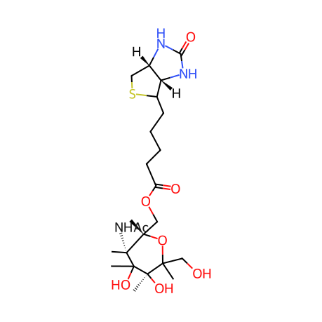 CC(=O)N[C@@]1(C)C(C)(O)[C@](C)(O)C(C)(CO)O[C@@]1(C)COC(=O)CCCCC1SC[C@@H]2NC(=O)N[C@H]12